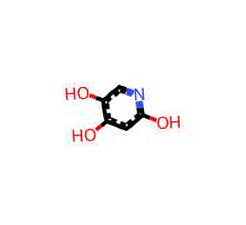 Oc1cc(O)c(O)cn1